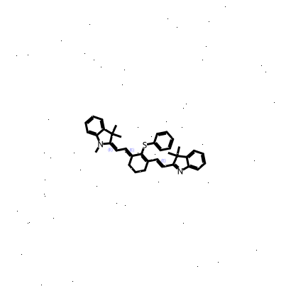 CN1/C(=C/C=C2\CCCC(/C=C/C3=Nc4ccccc4C3(C)C)=C2Sc2ccccc2)C(C)(C)c2ccccc21